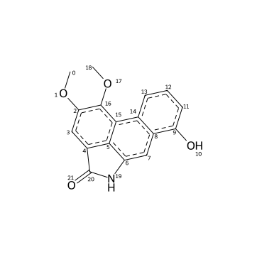 COc1cc2c3c(cc4c(O)cccc4c3c1OC)NC2=O